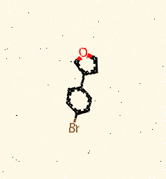 Brc1ccc(-c2[c]occ2)cc1